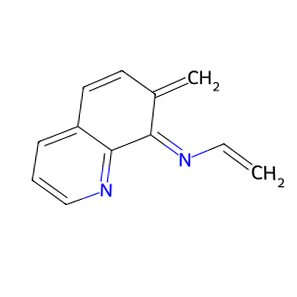 C=C/N=C1\C(=C)C=Cc2cccnc21